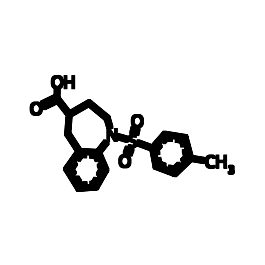 Cc1ccc(S(=O)(=O)N2CCC(C(=O)O)Cc3ccccc32)cc1